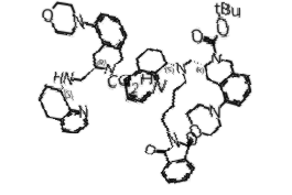 CC(C)(C)OC(=O)N1Cc2cccc(N3CCOCC3)c2C[C@@H]1CN(CCCCN1C(=O)c2ccccc2C1=O)[C@H]1CCCc2cccnc21.O=C(O)N1Cc2cccc(N3CCOCC3)c2C[C@@H]1CN[C@H]1CCCc2cccnc21